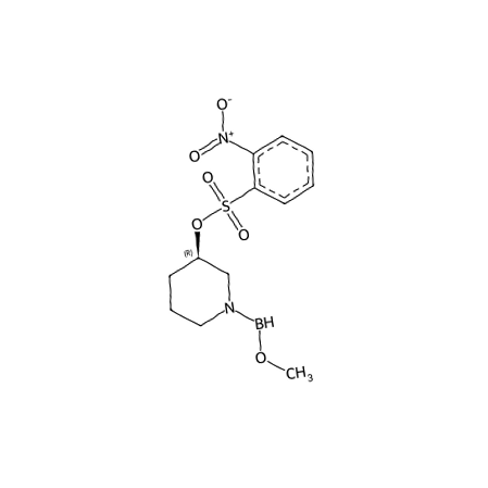 COBN1CCC[C@@H](OS(=O)(=O)c2ccccc2[N+](=O)[O-])C1